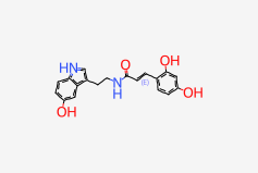 O=C(/C=C/c1ccc(O)cc1O)NCCc1c[nH]c2ccc(O)cc12